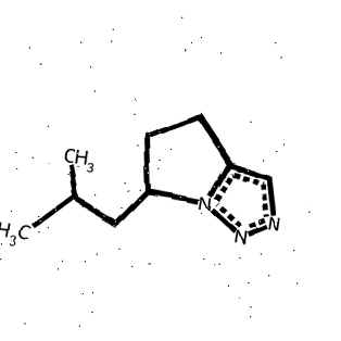 CC(C)CC1CCc2cnnn21